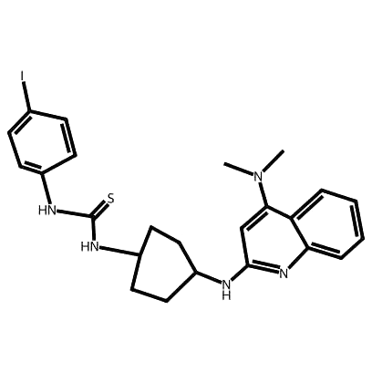 CN(C)c1cc(NC2CCC(NC(=S)Nc3ccc(I)cc3)CC2)nc2ccccc12